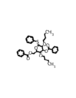 CCCCOC1C(OC(=O)c2ccccc2)[C@H](OCCCC)C(COC(=O)c2ccccc2)O[C@@H]1Sc1ccccc1